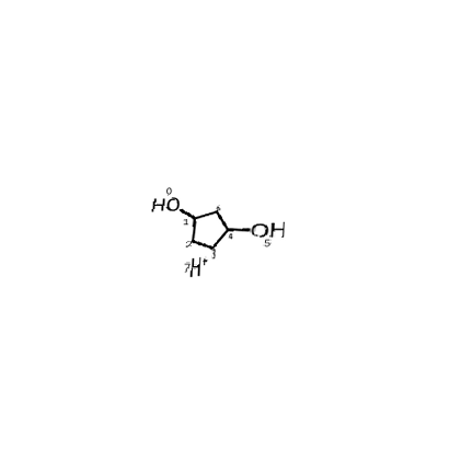 OC1CCC(O)C1.[H+]